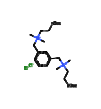 CCCCCCCCCCCC[N+](C)(C)Cc1cccc(C[N+](C)(C)CCCCCCCCCCCC)c1.[Cl-].[Cl-]